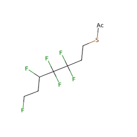 CC(=O)SCCC(F)(F)C(F)(F)C(F)CCF